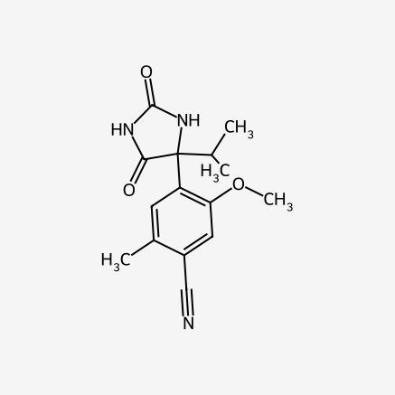 COc1cc(C#N)c(C)cc1C1(C(C)C)NC(=O)NC1=O